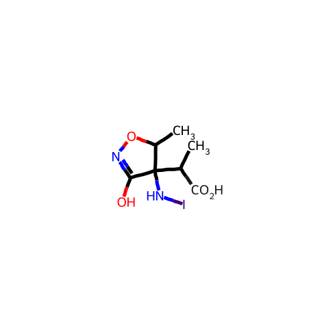 CC1ON=C(O)C1(NI)C(C)C(=O)O